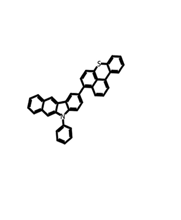 c1ccc(-n2c3ccc(-c4ccc5c6c(cccc46)-c4ccccc4S5)cc3c3cc4ccccc4cc32)cc1